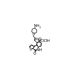 Cl.Cl.NC1CCN(C/C=C/c2c(O)ccc3[nH]c(=O)c4sccc4c23)CC1